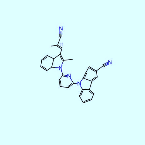 CC1=C(/C=C(\C)C#N)C2C=CC=CC2N1c1cccc(-n2c3ccccc3c3cc(C#N)ccc32)n1